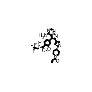 C=CC(=O)N1CCC(n2cc(-c3nn4ncnc(N)c4c3-c3ccc(C(=O)NCC(F)(F)F)c(OC)c3)cn2)CC1